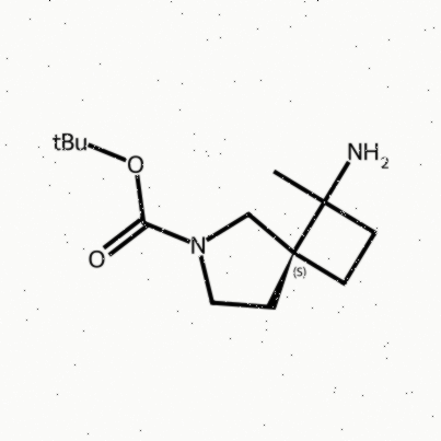 CC(C)(C)OC(=O)N1CC[C@@]2(CCC2(C)N)C1